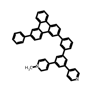 CN1C=CC(c2cc(-c3ccncc3)cc(-c3cccc(-c4ccc5c6ccccc6c6cc(-c7ccccc7)ccc6c5c4)c3)c2)=CC1